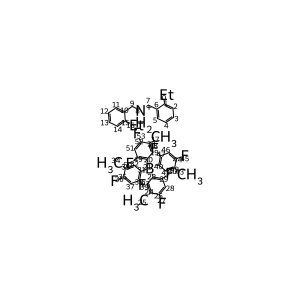 CCc1ccccc1C[NH2+]Cc1ccccc1CC.Cc1cc([B-](c2cc(C)c(F)cc2F)(c2cc(C)c(F)cc2F)c2cc(C)c(F)cc2F)c(F)cc1F